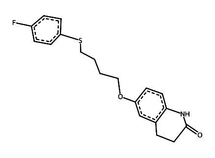 O=C1CCc2cc(OCCCCSc3ccc(F)cc3)ccc2N1